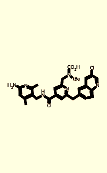 Cc1cc(N)nc(C)c1CNC(=O)c1cc(Cc2ccc3ncc(Cl)cc3c2)nc(CN(C(=O)O)C(C)(C)C)c1